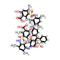 Cc1cc(C)c(NS(=O)(=O)c2c(C)cc(O)c(C(=O)O)c2C)c(C)c1/N=c1/ccc2c(-c3ccccc3S(=O)(=O)O)c3ccc(Nc4c(C)cc(C)c(NS(=O)(=O)c5c(C)cc(O)c(C(=O)O)c5C)c4C)cc3oc-2c1